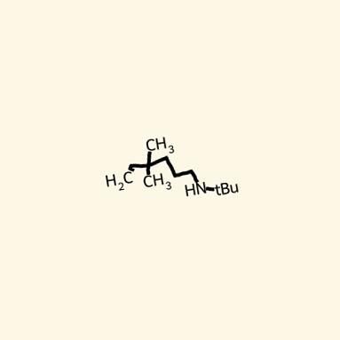 C=CC(C)(C)CCCNC(C)(C)C